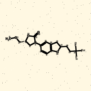 COC[C@H]1CN(c2ccc3c(c2)CC(CCC(F)(F)F)O3)C(=O)O1